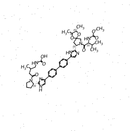 COC(=O)N[C@H](C(=O)N1CC2(C[C@H]1c1ncc(-c3ccc(-c4ccc(-c5c[nH]c([C@@H]6CCCN6C(=O)CC(C)CNC(=O)O)n5)cc4)cc3)[nH]1)O[C@@H](C)[C@H](C)O2)C(C)C